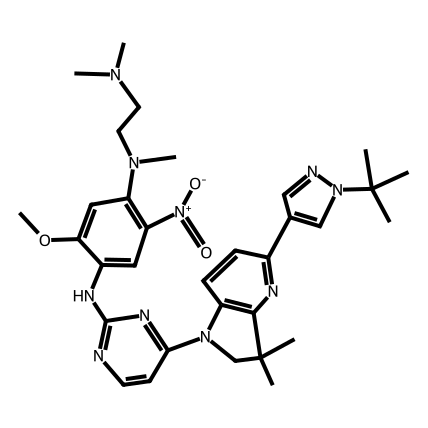 COc1cc(N(C)CCN(C)C)c([N+](=O)[O-])cc1Nc1nccc(N2CC(C)(C)c3nc(-c4cnn(C(C)(C)C)c4)ccc32)n1